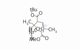 COC(=O)C(C)/C(C)=C\C(C(=O)OC(C)(C)C)C(C)(C)N=[N+]=[N-]